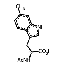 CC(=O)N[C@@H](Cc1c[nH]c2cc(C)ccc12)C(=O)O